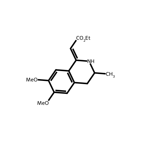 CCOC(=O)C=C1NC(C)Cc2cc(OC)c(OC)cc21